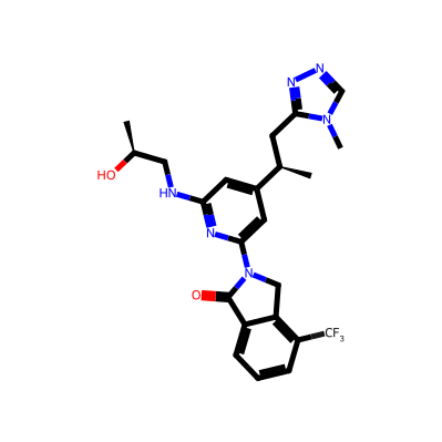 C[C@H](O)CNc1cc([C@H](C)Cc2nncn2C)cc(N2Cc3c(cccc3C(F)(F)F)C2=O)n1